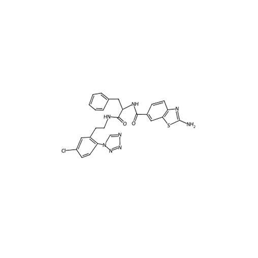 Nc1nc2ccc(C(=O)NC(Cc3ccccc3)C(=O)NCCc3cc(Cl)ccc3-n3cnnn3)cc2s1